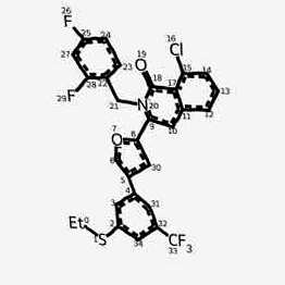 CCSc1cc(-c2coc(-c3cc4cccc(Cl)c4c(=O)n3Cc3ccc(F)cc3F)c2)cc(C(F)(F)F)c1